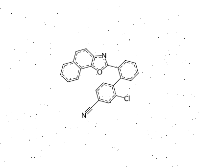 N#Cc1ccc(-c2ccccc2-c2nc3ccc4ccccc4c3o2)c(Cl)c1